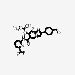 CC(C)Oc1cc2nc(C3CCC(C=O)CC3)cn2cc1C(=O)Nc1cccc(C(F)F)n1